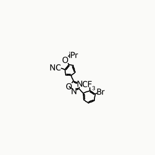 CC(C)Oc1ccc(-c2nc(-c3cccc(Br)c3C(F)(F)F)no2)cc1C#N